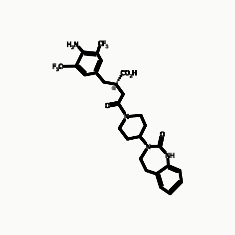 Nc1c(C(F)(F)F)cc(C[C@@H](CC(=O)N2CCC(N3CCc4ccccc4NC3=O)CC2)C(=O)O)cc1C(F)(F)F